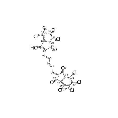 O=C1C(=CC=CC=CC2=C(O)c3c(Cl)c(Cl)c(Cl)c(Cl)c3C2=O)C(=O)c2c(Cl)c(Cl)c(Cl)c(Cl)c21